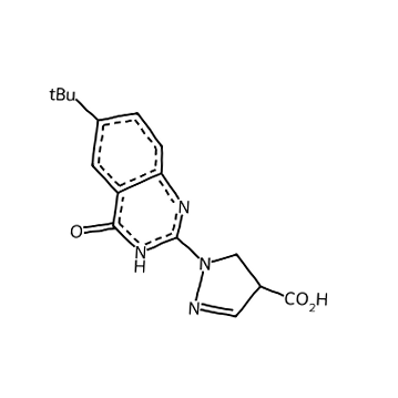 CC(C)(C)c1ccc2nc(N3CC(C(=O)O)C=N3)[nH]c(=O)c2c1